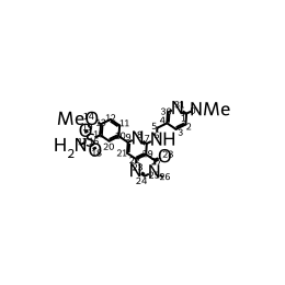 CNc1ccc(CNc2nc(-c3ccc(OC)c(S(N)(=O)=O)c3)cc3ncn(C)c(=O)c23)cn1